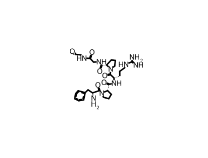 N=C(N)NCCC[C@H](NC(=O)[C@@H]1CCCN1C(=O)[C@H](N)Cc1ccccc1)C(=O)N1CCC[C@H]1C(=O)NCC(=O)NC[C]=O